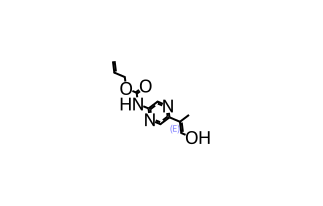 C=CCOC(=O)Nc1cnc(/C(C)=C/O)cn1